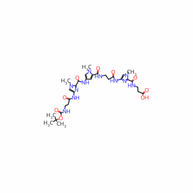 Cn1cc(NC(=O)c2nc(NC(=O)CCNC(=O)OC(C)(C)C)cn2C)cc1C(=O)NCCC(=O)Nc1cn(C)c(C(=O)NCCC(=O)O)n1